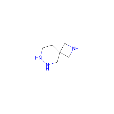 C1CC2(CNC2)CNN1